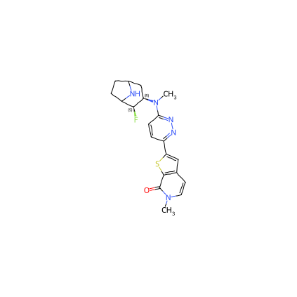 CN(c1ccc(-c2cc3ccn(C)c(=O)c3s2)nn1)[C@@H]1CC2CCC(N2)[C@@H]1F